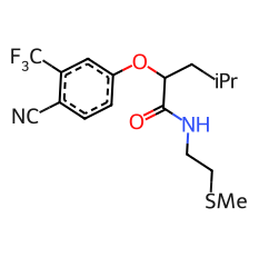 CSCCNC(=O)C(CC(C)C)Oc1ccc(C#N)c(C(F)(F)F)c1